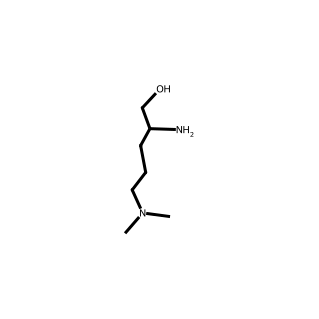 CN(C)CCCC(N)CO